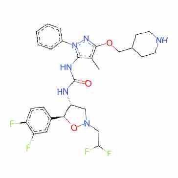 Cc1c(OCC2CCNCC2)nn(-c2ccccc2)c1NC(=O)N[C@@H]1CN(CC(F)F)O[C@H]1c1ccc(F)c(F)c1